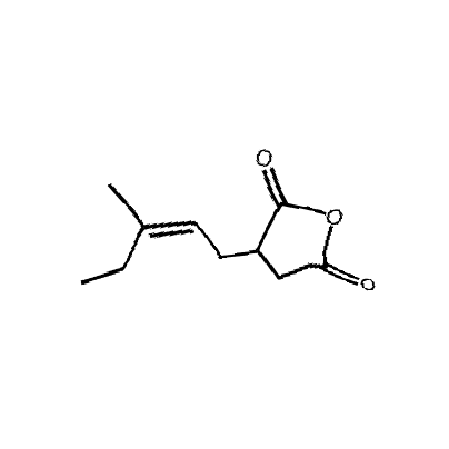 CCC(C)=CCC1CC(=O)OC1=O